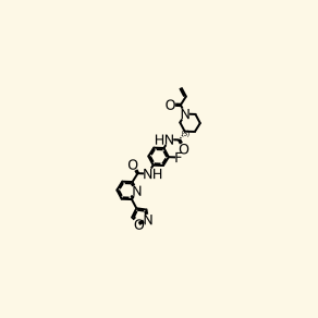 C=CC(=O)N1CCC[C@H](C(=O)Nc2ccc(NC(=O)c3cccc(-c4cnoc4)n3)cc2F)C1